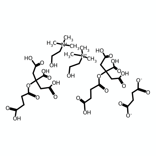 C[N+](C)(C)CCO.C[N+](C)(C)CCO.O=C(O)CCC(=O)OC(CC(=O)O)(CC(=O)O)C(=O)O.O=C(O)CCC(=O)OC(CC(=O)O)(CC(=O)O)C(=O)O.O=C([O-])CCC(=O)[O-]